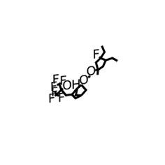 CCC1CC(C)(OCOC2CC3CC(CC(O)(C(F)(F)F)C(F)(F)F)C2C3)CC1(F)CC